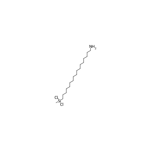 C[Si](Cl)(Cl)CCCCCCCCCCCCCCCCCN